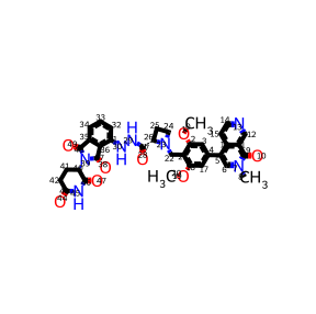 COc1cc(-c2cn(C)c(=O)c3cnccc23)cc(OC)c1CN1CC[C@H]1C(=O)NNc1cccc2c1C(=O)N([C@H]1CCC(=O)NC1=O)C2=O